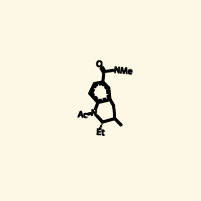 CC[C@H]1C(C)Cc2cc(C(=O)NC)ccc2N1C(C)=O